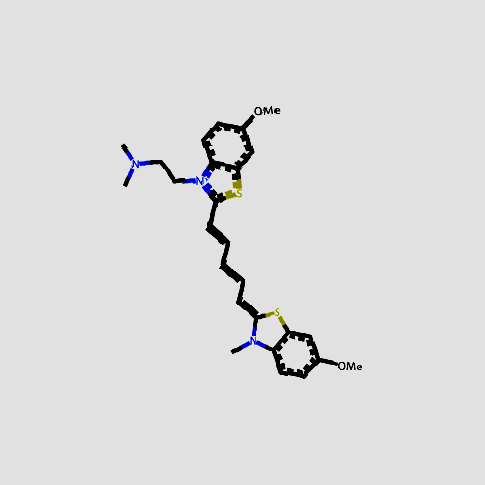 COc1ccc2c(c1)S\C(=C/C=C/C=C/c1sc3cc(OC)ccc3[n+]1CCN(C)C)N2C